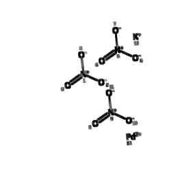 O=[N+]([O-])[O-].O=[N+]([O-])[O-].O=[N+]([O-])[O-].[K+].[Pd+2]